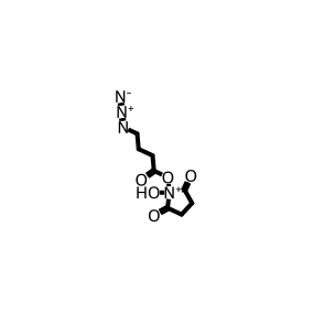 [N-]=[N+]=NCCCC(=O)O[N+]1(O)C(=O)CCC1=O